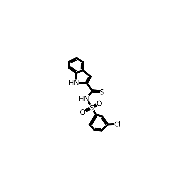 O=S(=O)(NC(=S)c1cc2ccccc2[nH]1)c1cccc(Cl)c1